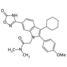 COc1ccc(-c2c(C3CCCCC3)c3ccc(-c4noc(=O)[nH]4)cc3n2CC(=O)N(C)C)cc1